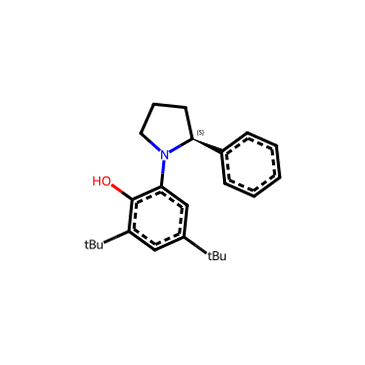 CC(C)(C)c1cc(N2CCC[C@H]2c2ccccc2)c(O)c(C(C)(C)C)c1